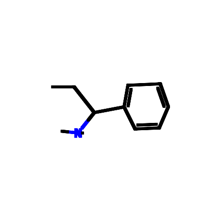 CCC([N]C)c1ccccc1